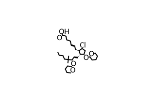 CCCCC(C)(C)[C@@H](C=C[C@@H]1[C@@H](CC=CCCCC(=O)O)[C@H](Cl)C[C@H]1OC1CCCCO1)OC1CCCCO1